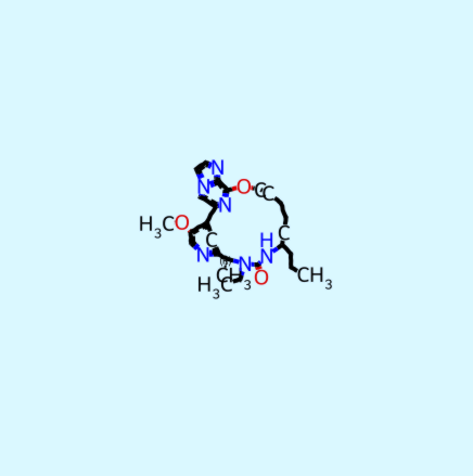 CCCC1CCCCCOc2nc(cn3ccnc23)-c2cc(ncc2OC)[C@@H](C)N(CC)C(=O)N1